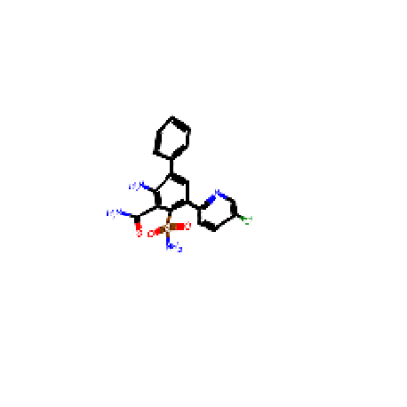 NC(=O)c1c(N)c(-c2ccccc2)cc(-c2ccc(Cl)cn2)c1S(N)(=O)=O